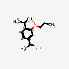 CCCOc1cc(C(C)C)ccc1C(C)C